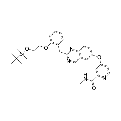 CNC(=O)c1cc(Oc2ccc3nc(Cc4ccccc4OCCO[Si](C)(C)C(C)(C)C)ncc3c2)ccn1